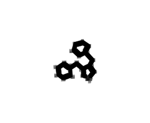 c1ccc(Cc2c[se]cc2Cc2ccccc2)cc1